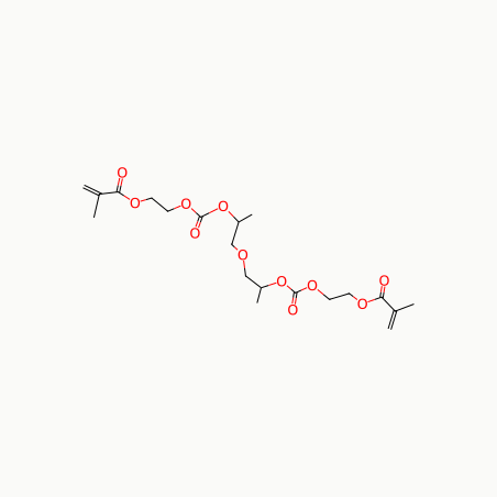 C=C(C)C(=O)OCCOC(=O)OC(C)COCC(C)OC(=O)OCCOC(=O)C(=C)C